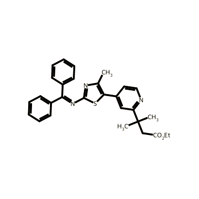 CCOC(=O)CC(C)(C)c1cc(-c2sc(N=C(c3ccccc3)c3ccccc3)nc2C)ccn1